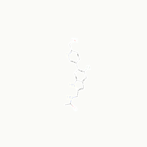 CC(=O)NCc1cc2cc(Cl)c(-c3ccc(CO)nc3)cc2[nH]1